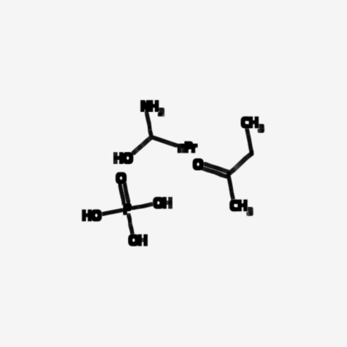 CCC(C)=O.CCCC(N)O.O=P(O)(O)O